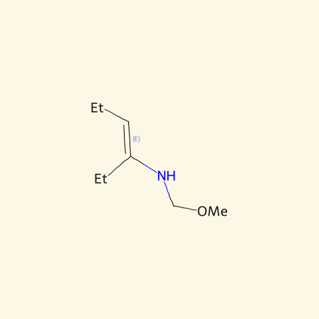 CC/C=C(\CC)NCOC